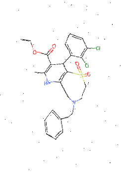 CCOC(=O)C1=C(C)NC2=C(C1c1cccc(Cl)c1Cl)S(=O)(=O)CCN(Cc1ccccc1)C2